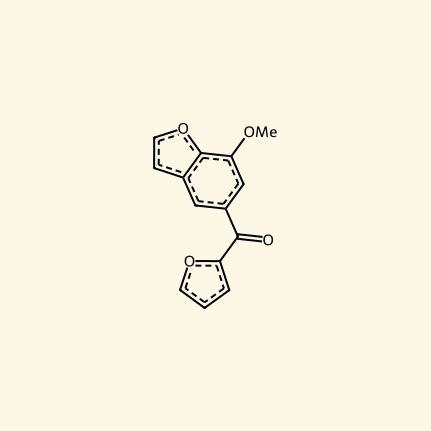 COc1cc(C(=O)c2ccco2)cc2ccoc12